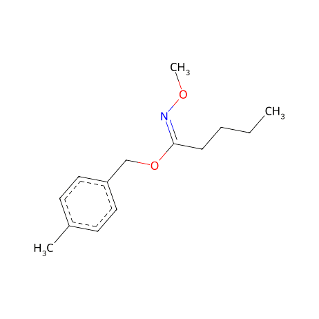 CCCCC(=NOC)OCc1ccc(C)cc1